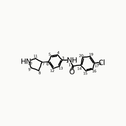 O=C(Nc1ccc([C@H]2CCNC2)cc1)c1ccc(Cl)cc1